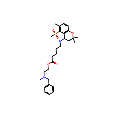 Cc1ccc2c(c1S(C)(=O)=O)C(NCCCCC(=O)OCCN(C)Cc1ccccc1)CC(C)(C)O2